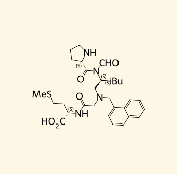 CC[C@H](C)[C@@H](CN(CC(=O)N[C@@H](CCSC)C(=O)O)Cc1cccc2ccccc12)N(C=O)C(=O)[C@@H]1CCCN1